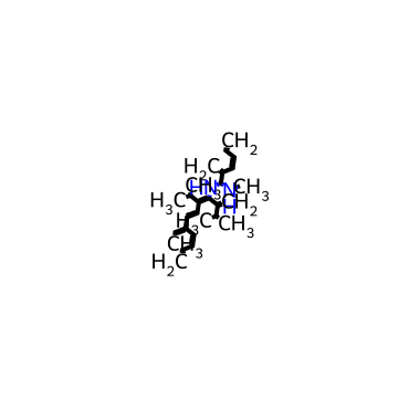 C=C/C=C\C(=C)C(NC)N/C(C(=C)C(C)C)=C(/C=C/C(/C=C\C=C)=C/C)C(C)C